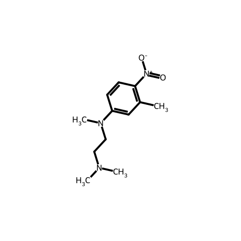 Cc1cc(N(C)CCN(C)C)ccc1[N+](=O)[O-]